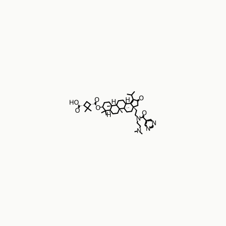 CC(C)C1=C2[C@H]3CC[C@@H]4[C@@]5(C)CC[C@H](OC(=O)[C@H]6C[C@@H](C(=O)O)C6(C)C)C(C)(C)[C@@H]5CC[C@@]4(C)[C@]3(C)CC[C@@]2(CCN(CCN(C)C)C(=O)c2cncnc2)CC1=O